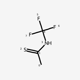 CC(=S)NC(F)(F)F